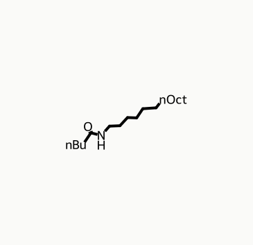 CCCCCCCCCCCCCCNC(=O)CCCC